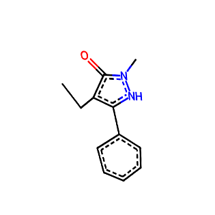 CCc1c(-c2ccccc2)[nH]n(C)c1=O